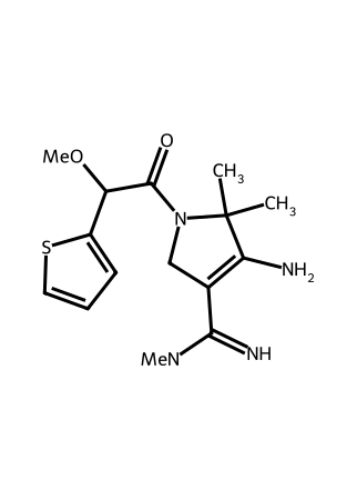 CNC(=N)C1=C(N)C(C)(C)N(C(=O)C(OC)c2cccs2)C1